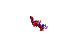 Cc1ncsc1-c1ccc([C@H](C)NC(=O)[C@@H]2C[C@@H](O)CN2C(=O)[C@@H](NC(=O)c2csc(N3CCN(c4cc(-c5ccccc5O)nnc4N)CC3)n2)C(C)(C)C)cc1